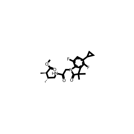 COC(=O)[C@H](C)[C@@H](C)CNC(=O)CN1C(=O)C(C)(C)c2c(F)c(C3CC3)cc(F)c21